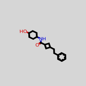 O=C(NC1CCC(O)CC1)C1CC(CCc2ccccc2)C1